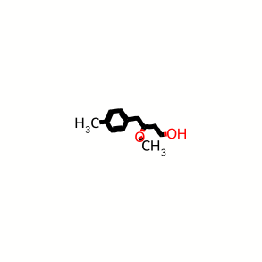 COC(CCO)Cc1ccc(C)cc1